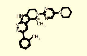 Cc1ccccc1-c1cc2c3c([nH]c2nn1)CCN(c1ncc(N2CCCCC2)cn1)[C@@H]3C